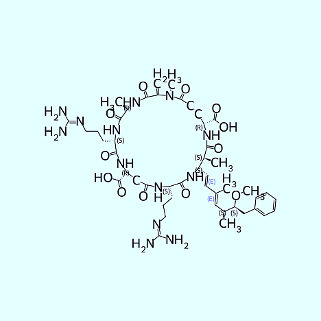 C=C1C(=O)N[C@H](C)C(=O)N[C@@H](CCCN=C(N)N)C(=O)N[C@@H](C(=O)O)CC(=O)N[C@@H](CCCN=C(N)N)C(=O)N[C@@H](/C=C/C(C)=C/[C@H](C)[C@H](Cc2ccccc2)OC)[C@H](C)C(=O)N[C@@H](C(=O)O)CCC(=O)N1C